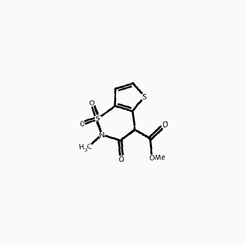 COC(=O)C1C(=O)N(C)S(=O)(=O)c2ccsc21